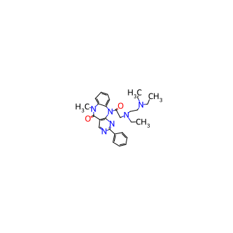 CCN(CC)CCN(CC)CC(=O)N1c2ccccc2N(C)C(=O)c2cnc(-c3ccccc3)nc21